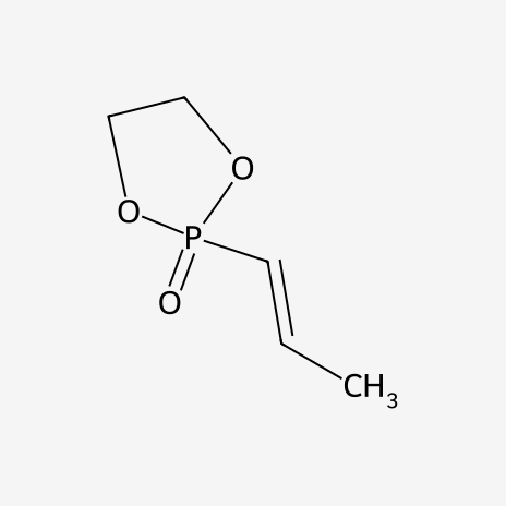 CC=CP1(=O)OCCO1